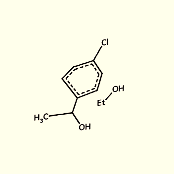 CC(O)c1ccc(Cl)cc1.CCO